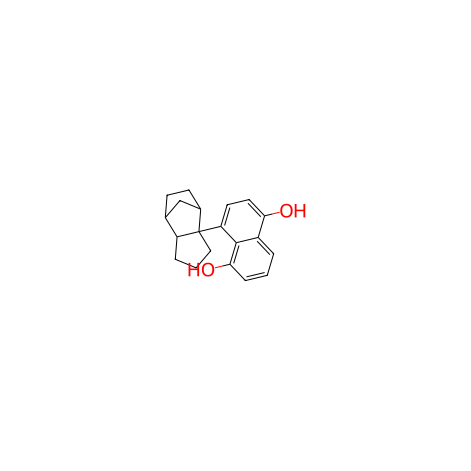 Oc1ccc(C23CCCC2C2CCC3C2)c2c(O)cccc12